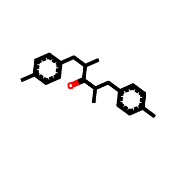 Cc1ccc(CC(C)C(=O)C(C)Cc2ccc(C)cc2)cc1